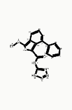 CCOc1oc(C(=O)Nc2nnn[nH]2)c2c(-c3ccccc3)cccc12